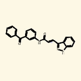 O=C(/C=C/c1n[nH]c2ccccc12)Nc1cccc(C(=O)c2ccccc2)c1